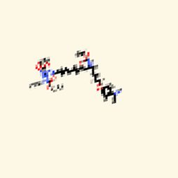 CCCCN(C(=O)OC(C)(C)C)/C(=N/C(=O)OC(C)(C)C)NCCCCCCCCC/C(CCCCCOc1ccc(C(C)=N)cc1)=N\C(=O)OC(C)(C)C